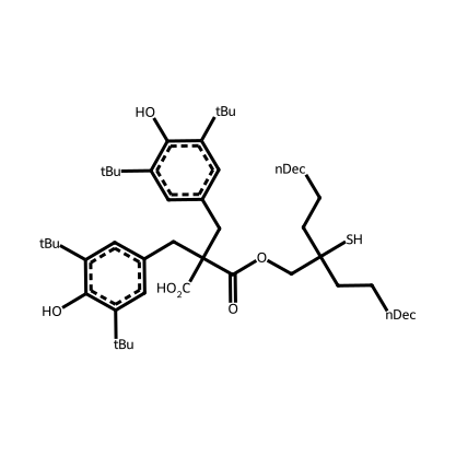 CCCCCCCCCCCCC(S)(CCCCCCCCCCCC)COC(=O)C(Cc1cc(C(C)(C)C)c(O)c(C(C)(C)C)c1)(Cc1cc(C(C)(C)C)c(O)c(C(C)(C)C)c1)C(=O)O